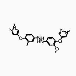 COc1cc(NNc2ccc(Oc3cnn(C)c3)c(C)c2)ccc1Oc1cnn(C)c1